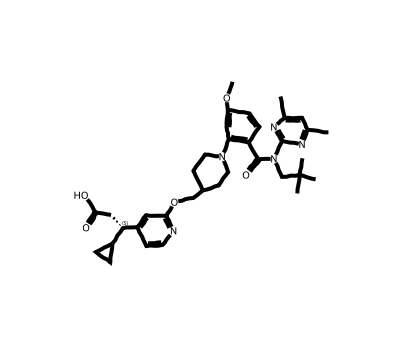 COc1ccc(C(=O)N(CC(C)(C)C)c2nc(C)cc(C)n2)c(N2CCC(COc3cc([C@@H](CC(=O)O)C4CC4)ccn3)CC2)c1